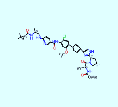 COC(=O)N[C@H](C(=O)N1C[C@@H](C)C[C@H]1c1nc(-c2ccc(-c3cc(Cl)c(NC(=O)c4ccc(NC[C@H](C)NC(=O)[C@H]5CC5(C)C)nc4)cc3OC(F)(F)F)cc2)c[nH]1)C(C)C